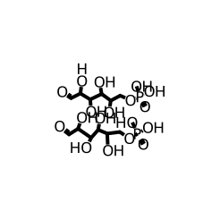 O=CC(O)C(O)C(O)C(O)COP(=O)(O)O.O=CC(O)C(O)C(O)C(O)COP(=O)(O)O